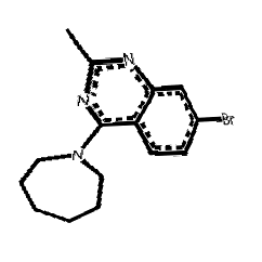 Cc1nc(N2CCCCCC2)c2ccc(Br)cc2n1